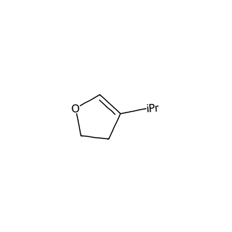 CC(C)C1=COCC1